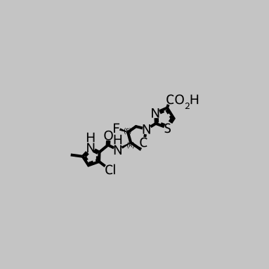 Cc1cc(Cl)c(C(=O)N[C@@H]2CCN(c3nc(C(=O)O)cs3)C[C@@H]2F)[nH]1